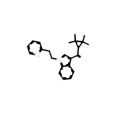 CC1(C)C(C(=O)c2cn(CCc3ccccn3)c3ccccc23)C1(C)C